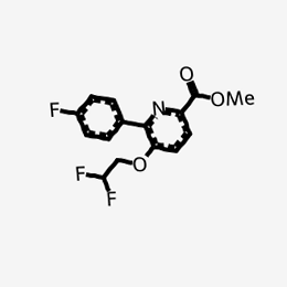 COC(=O)c1ccc(OCC(F)F)c(-c2ccc(F)cc2)n1